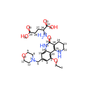 CCOc1cc(CN2CCOCC2)cc2[nH]c(=O)c3c(c12)NCCC3.NC(CCC(=O)O)C(=O)O